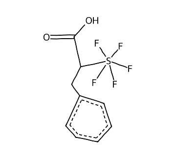 O=C(O)C(Cc1ccccc1)S(F)(F)(F)(F)F